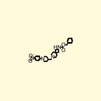 O=C(NC1CC2(CCN(CC3CCN(c4ccc([N+](=O)[O-])cc4)CC3)CC2)C1)OCc1ccccc1